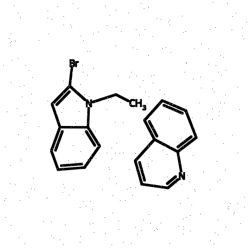 CCn1c(Br)cc2ccccc21.c1ccc2ncccc2c1